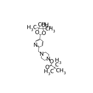 CC(C)(C)C(=O)ON1CCN(Cc2ccc(C3OC(C)(C)C(C)(C)O3)cn2)CC1